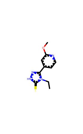 CCn1c(-c2ccnc(OC)c2)n[nH]c1=S